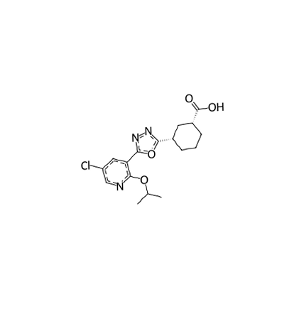 CC(C)Oc1ncc(Cl)cc1-c1nnc([C@H]2CCC[C@@H](C(=O)O)C2)o1